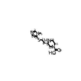 Cn1cnnc1SCC[C@@H]1CN(C(=O)O)CCN1